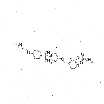 CC(C)(c1ccc(OCCN)cc1)c1ccc(OCc2ccnc(NS(C)(=O)=O)n2)cc1